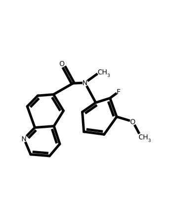 COc1cccc(N(C)C(=O)c2ccc3ncccc3c2)c1F